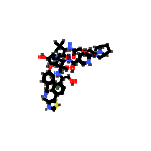 Cc1ncsc1-c1ccc([C@H](CO)NC(O)[C@@H]2C[C@@H](O)CN2C(=O)[C@@H](NC(=O)COCCN2C3CCC2CN(c2ccc(C(=O)N[C@H]4C(C)(C)[C@H](Oc5ccc(C#N)c(Cl)c5)C4(C)C)cn2)C3)C(C)(C)C)cc1